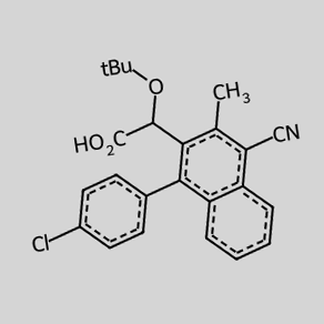 Cc1c(C(OC(C)(C)C)C(=O)O)c(-c2ccc(Cl)cc2)c2ccccc2c1C#N